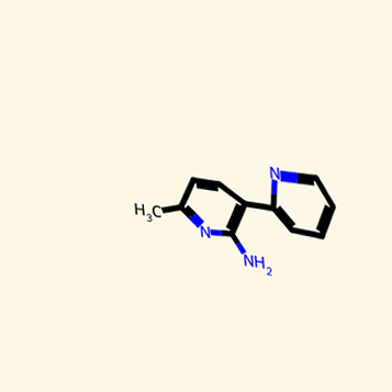 Cc1ccc(-c2ccccn2)c(N)n1